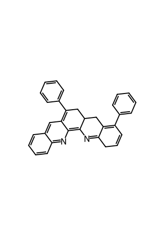 C1=CC(c2ccccc2)=C2CC3CC(c4ccccc4)=c4cc5ccccc5nc4=C3N=C2C1